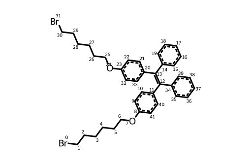 BrCCCCCCOc1ccc(C(=C(c2ccccc2)c2ccc(OCCCCCCBr)cc2)c2ccccc2)cc1